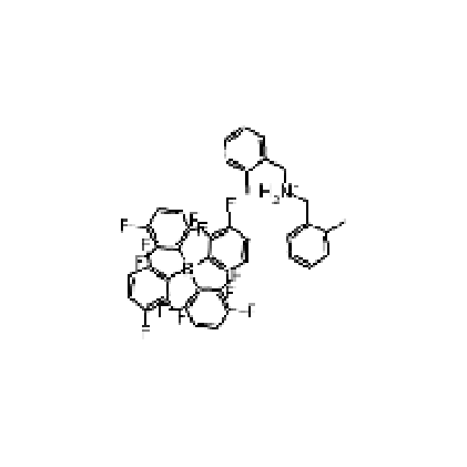 Cc1ccccc1C[NH2+]Cc1ccccc1C.Fc1ccc(F)c([B-](c2c(F)ccc(F)c2F)(c2c(F)ccc(F)c2F)c2c(F)ccc(F)c2F)c1F